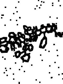 Nc1nnc(SCSC2=C(C(=O)O)N3C(=O)[C@@H](NC(=O)C(=NOC(c4ccccc4)(c4ccccc4)c4ccccc4)c4nc(NC(c5ccccc5)(c5ccccc5)c5ccccc5)sc4Cl)[C@H]3CC2C(c2ccccc2)c2ccccc2)s1